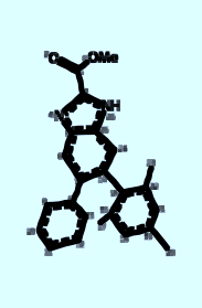 COC(=O)c1nc2cc(-c3ccccc3)c(-c3c(C)cc(C)cc3C)cc2[nH]1